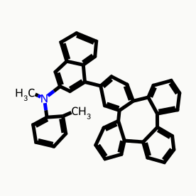 Cc1ccccc1N(C)c1cc(-c2ccc3c(c2)-c2ccccc2-c2ccccc2-c2ccccc2-3)c2ccccc2c1